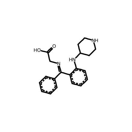 O=C(O)C/N=C(\c1ccccc1)c1ccccc1NC1CCNCC1